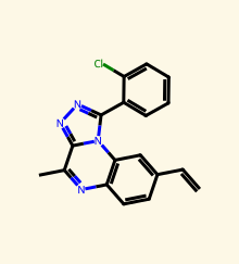 C=Cc1ccc2nc(C)c3nnc(-c4ccccc4Cl)n3c2c1